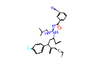 C=C(C=C=CC)C(CC(CC)N/C(=N\C(=O)c1cccc(C#N)c1)NCC(C)C)c1ccc(F)cc1